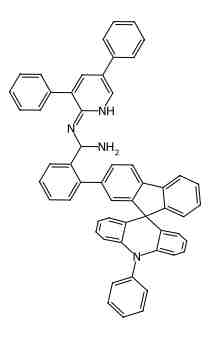 NC(/N=c1\[nH]cc(-c2ccccc2)cc1-c1ccccc1)c1ccccc1-c1ccc2c(c1)C1(c3ccccc3-2)c2ccccc2N(c2ccccc2)c2ccccc21